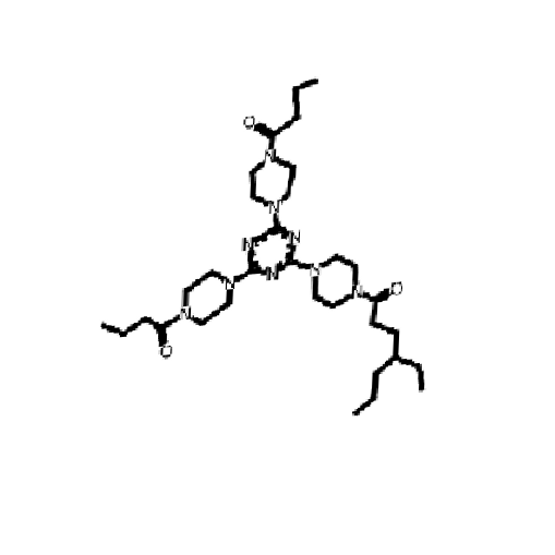 CCCC(=O)N1CCN(c2nc(N3CCN(C(=O)CCC)CC3)nc(N3CCN(C(=O)CCC(CC)CCC)CC3)n2)CC1